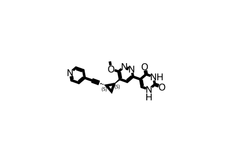 COc1nnc(-c2c[nH]c(=O)[nH]c2=O)cc1[C@H]1C[C@@H]1C#Cc1ccncc1